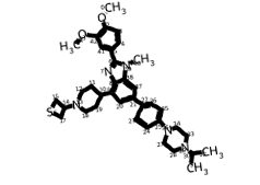 COc1ccc(-c2nc3c(C4CCN(C5CSC5)CC4)cc(-c4ccc(N5CCN(C(C)C)CC5)cc4)cc3n2C)cc1OC